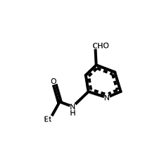 CCC(=O)Nc1cc(C=O)ccn1